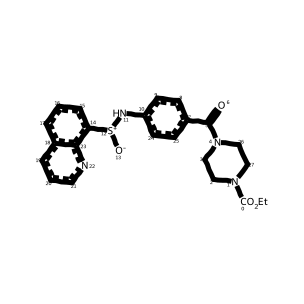 CCOC(=O)N1CCN(C(=O)c2ccc(N[S+]([O-])c3cccc4cccnc34)cc2)CC1